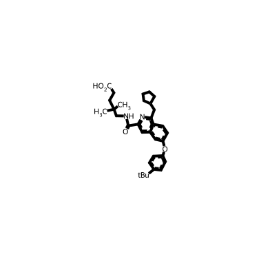 CC(C)(CCC(=O)O)CNC(=O)c1cc2cc(Oc3ccc(C(C)(C)C)cc3)ccc2c(CC2CCCC2)n1